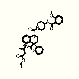 CCOC(=O)CC(C)NC(=O)[C@@]1(c2ccccc2)CC[C@H](C(=O)N2CCC(NC(=O)c3ccccc3OC)CC2)c2ccccc21